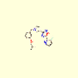 CC(C)COc1cccc(CN2CCC(c3noc(-c4ncccc4F)n3)C2)c1